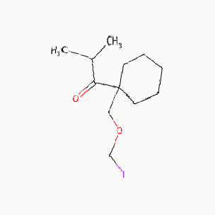 CC(C)C(=O)C1(COCI)CCCCC1